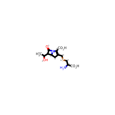 CC(O)C1C(=O)N2C(C(=O)O)=C(CSCC(N)C(=O)O)CC12